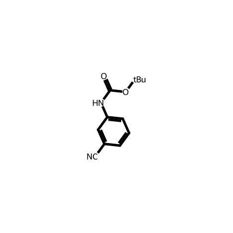 CC(C)(C)OC(=O)Nc1cccc(C#N)c1